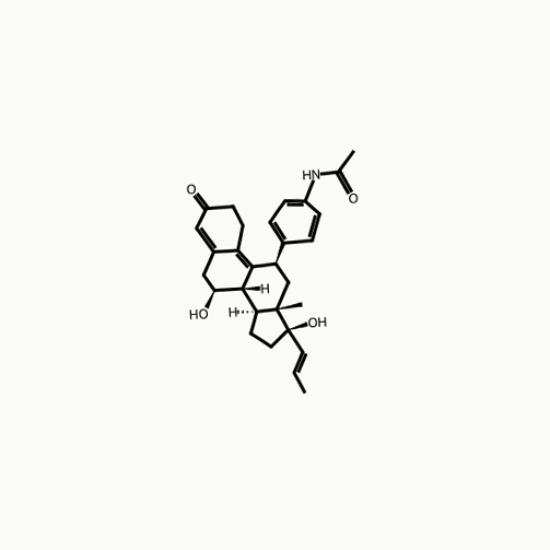 CC=C[C@]1(O)CC[C@H]2[C@H]3C(=C4CCC(=O)C=C4C[C@@H]3O)[C@@H](c3ccc(NC(C)=O)cc3)C[C@@]21C